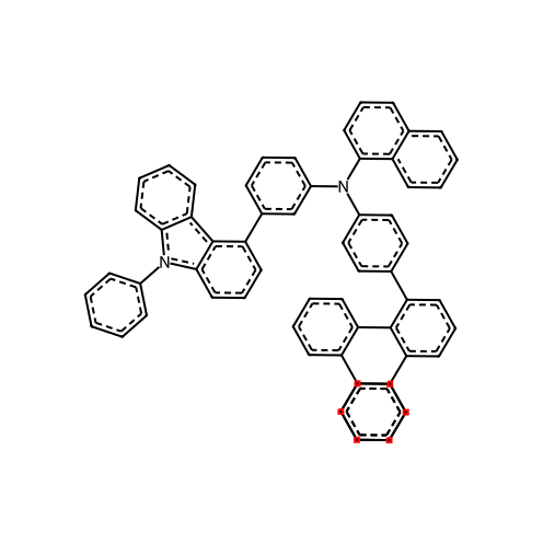 c1ccc(-c2ccccc2-c2c(-c3ccccc3)cccc2-c2ccc(N(c3cccc(-c4cccc5c4c4ccccc4n5-c4ccccc4)c3)c3cccc4ccccc34)cc2)cc1